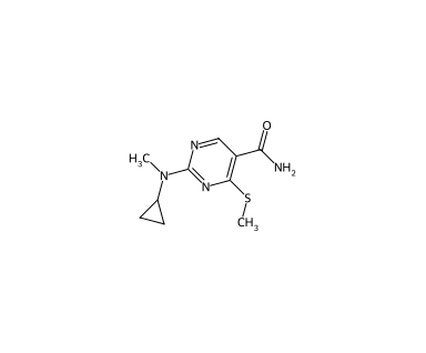 CSc1nc(N(C)C2CC2)ncc1C(N)=O